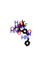 C[C@@H]1O[C@H](C)[C@@H]2N(c3cc4onc(NCc5ccccc5)c4cc3CC23C(=O)NC(=O)NC3=O)C1F